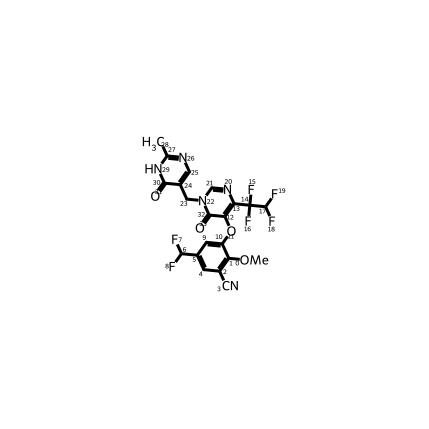 COc1c(C#N)cc(C(F)F)cc1Oc1c(C(F)(F)C(F)F)ncn(Cc2cnc(C)[nH]c2=O)c1=O